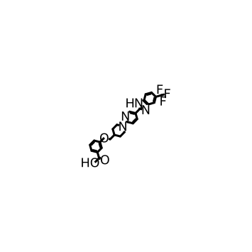 O=C(O)c1cccc(OCC2CCN(c3ccc(-c4nc5cc(C(F)(F)F)ccc5[nH]4)cn3)CC2)c1